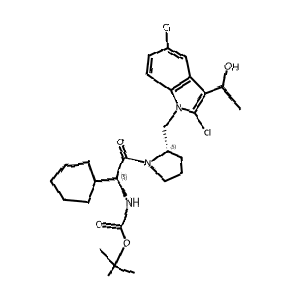 CC(O)c1c(Cl)n(C[C@@H]2CCCN2C(=O)[C@@H](NC(=O)OC(C)(C)C)C2CCCCC2)c2ccc(Cl)cc12